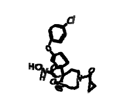 O=C(C[C@]1(c2ccc(Oc3ccc(Cl)cc3)cc2)CCN(C(=O)C2CC2)CCS1(=O)=O)NO